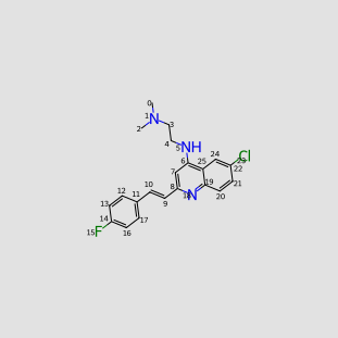 CN(C)CCNc1cc(/C=C/c2ccc(F)cc2)nc2ccc(Cl)cc12